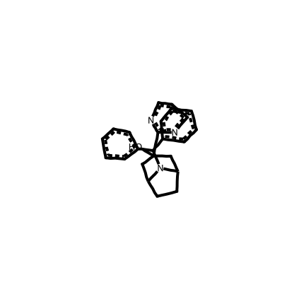 OC1(c2ncccn2)CC2CCC(C1)N2C(c1ccccc1)c1ccccc1